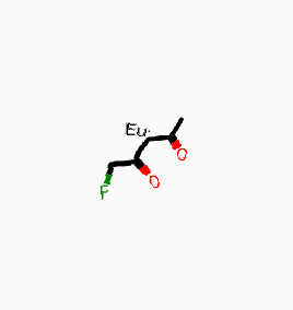 CC(=O)CC(=O)CF.[Eu]